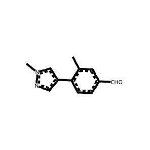 Cc1cc([C]=O)ccc1-c1cnn(C)c1